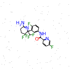 NC1=N[C@@](c2cc(NC(=O)c3ccc(F)cn3)ccc2F)(C(F)F)C(F)(F)CC1